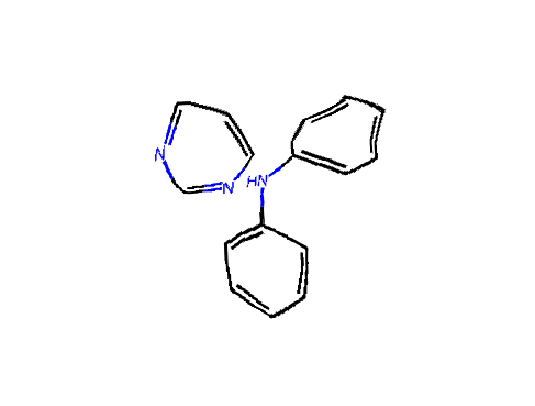 c1ccc(Nc2ccccc2)cc1.c1cncnc1